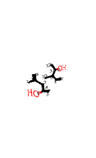 C=C(C)CC(C)O.C=CC(C)C(C)O